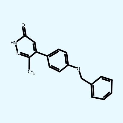 O=c1cc(-c2ccc(OCc3ccccc3)cc2)c(C(F)(F)F)n[nH]1